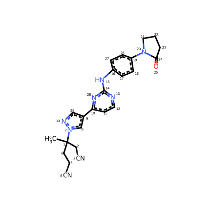 CC(CC#N)(CCC#N)n1cc(-c2ccnc(Nc3ccc(N4CCCC4=O)cc3)n2)cn1